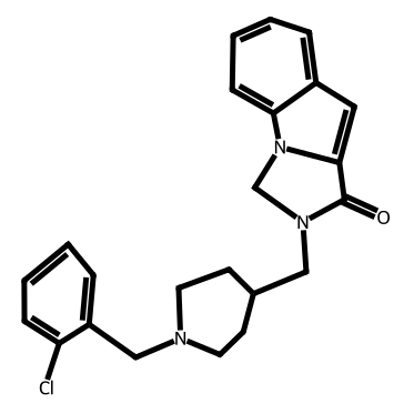 O=C1c2cc3ccccc3n2CN1CC1CCN(Cc2ccccc2Cl)CC1